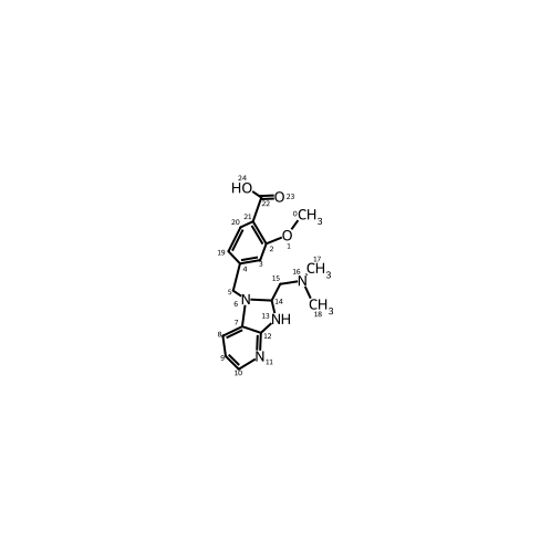 COc1cc(CN2c3cccnc3NC2CN(C)C)ccc1C(=O)O